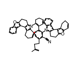 C=C(C)CCc1ccc(C2=C(n3c4c(c5c3CCc3oc6ccccc6c3-5)CCC=C4)CCC=C2)c(-n2c3c(c4ccccc42)-c2c(oc4c2CCC=C4)CC3)c1C#N